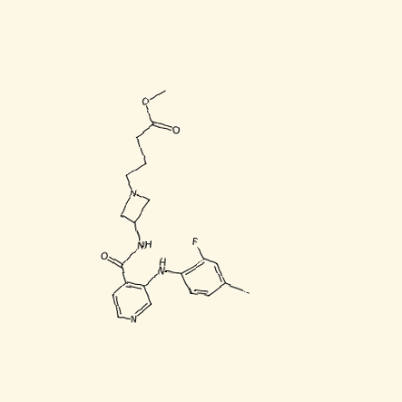 COC(=O)CCCN1CC(NC(=O)c2ccncc2Nc2ccc(C)cc2F)C1